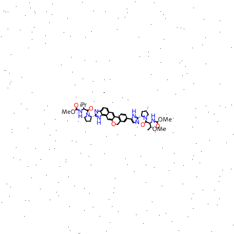 COC(=O)NC(C(=O)N1C[C@@H](C)C[C@H]1c1ncc(-c2ccc3c(c2)COc2cc4c(ccc5nc([C@@H]6CC[C@H](C)N6C(=O)[C@@H](NC(=O)OC)C(C)C)[nH]c54)cc2-3)[nH]1)[C@@H](C)OC